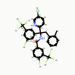 Cc1ccccc1CC(NC(=O)c1ccc(F)c(C(F)(F)F)c1)(c1cc(F)cc(C(F)(F)F)c1)c1ccc(Cl)cn1